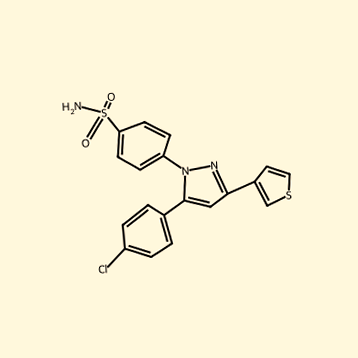 NS(=O)(=O)c1ccc(-n2nc(-c3ccsc3)cc2-c2ccc(Cl)cc2)cc1